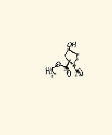 COC(=O)C1CC(O)CCN1C=O